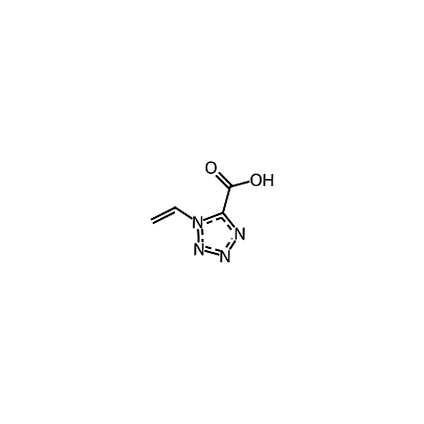 C=Cn1nnnc1C(=O)O